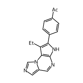 CCc1c(-c2ccc(C(C)=O)cc2)[nH]c2ncc3cncn3c12